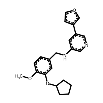 COc1ccc(CNc2cncc(-c3ccoc3)c2)cc1OC1CCCC1